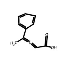 CC(=C=CC(=O)O)c1ccccc1